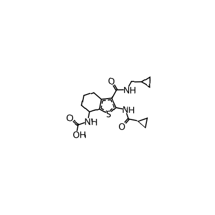 O=C(O)NC1CCCc2c1sc(NC(=O)C1CC1)c2C(=O)NCC1CC1